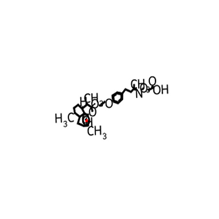 C/C(CCc1ccc(OCCO[C@H]2O[C@@H]3O[C@@]4(C)CCC5[C@H](C)CC[C@@H]([C@H]2C)[C@]53OO4)cc1)=N\OCC(=O)O